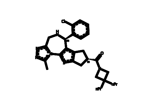 CCCC1(CCC)CN(C(=O)[C@@H]2Cc3sc4c(c3C2)[C@H](c2ccccc2Cl)NCc2nnc(C)n2-4)C1